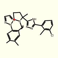 Cc1cc(C(=O)N2CCCC2(C)c2nnc(-c3cccc(Cl)c3C)[nH]2)c(-n2nccn2)cc1C